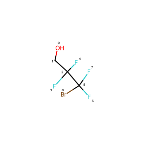 OCC(F)(F)C(F)(F)Br